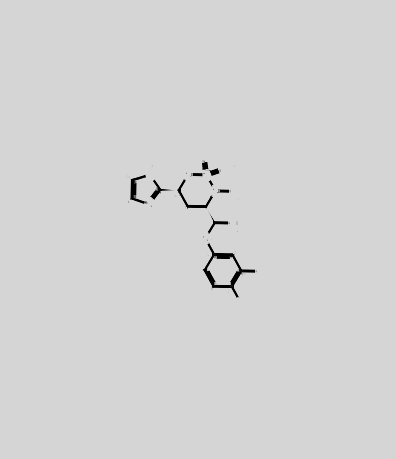 CN1[C@@H](C(O)Nc2ccc(F)c(Cl)c2)C[C@@H](c2nccs2)NS1(=O)=O